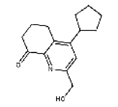 O=C1CCCc2c(C3CCCC3)cc(CO)nc21